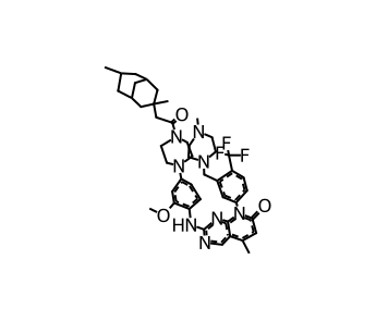 COc1cc(N2CCN(C(=O)CC3(C)CC4CC(C)CC(C4)C3)CC2)ccc1Nc1ncc2c(C)cc(=O)n(-c3ccc(C(F)(F)F)c(CN4CCN(C)CC4)c3)c2n1